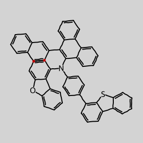 c1ccc2cc(-c3c(N(c4ccc(-c5cccc6c5sc5ccccc56)cc4)c4cccc5oc6ccccc6c45)c4ccccc4c4ccccc34)ccc2c1